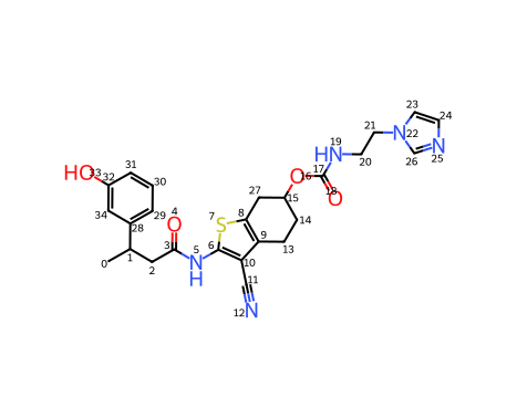 CC(CC(=O)Nc1sc2c(c1C#N)CCC(OC(=O)NCCn1ccnc1)C2)c1cccc(O)c1